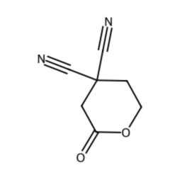 N#CC1(C#N)CCOC(=O)C1